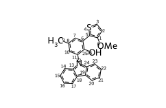 COc1ccsc1-c1cc(C)cc(-n2c3ccccc3c3ccccc32)c1O